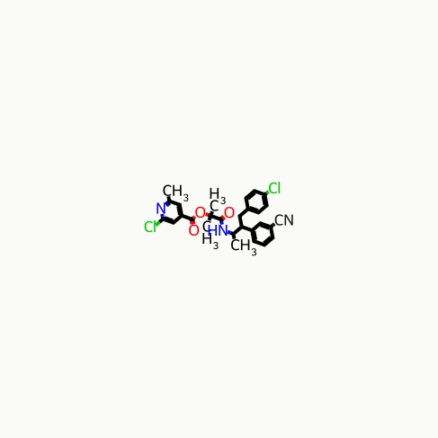 Cc1cc(C(=O)OC(C)(C)C(=O)NC(C)C(Cc2ccc(Cl)cc2)c2cccc(C#N)c2)cc(Cl)n1